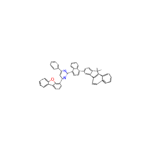 CC1(C)c2ccc(-c3ccc(-c4nc(-c5ccccc5)cc(-c5cccc6c5oc5ccccc56)n4)c4ccccc34)cc2-c2ccc3ccccc3c21